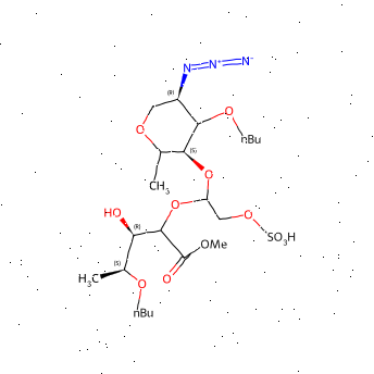 CCCCOC1[C@@H](OC(COS(=O)(=O)O)OC(C(=O)OC)[C@H](O)[C@H](C)OCCCC)C(C)OC[C@H]1N=[N+]=[N-]